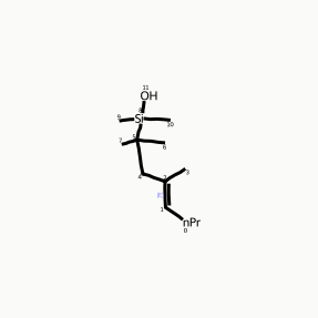 CCC/C=C(\C)CC(C)(C)[Si](C)(C)O